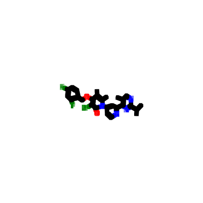 Cc1cnc(C(C)C)nc1-c1cc(-n2c(C)c(C)c(OCc3ccc(F)cc3F)c(Br)c2=O)ccn1